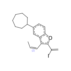 C=C(I)c1oc2ccc(C3CCCCCC3)cc2c1/C=C\C